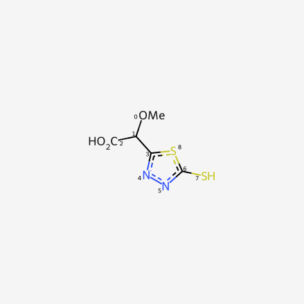 COC(C(=O)O)c1nnc(S)s1